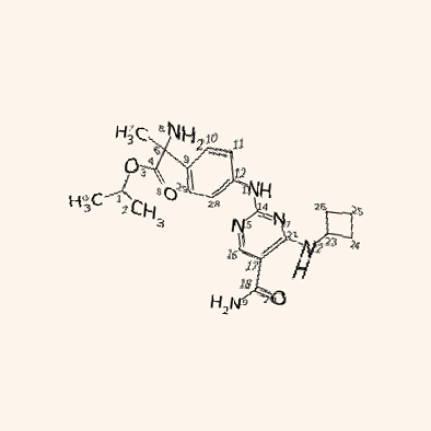 CC(C)OC(=O)C(C)(N)c1ccc(Nc2ncc(C(N)=O)c(NC3CCC3)n2)cc1